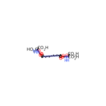 CC1=C(/C=C/C(C)=C/C=C/C(C)=C/C=C/C=C(C)/C=C/C=C(C)/C=C/C2=C(C)C(=O)C(OC(=O)CCNC(=O)NC(CCC(=O)O)C(=O)O)CC2(C)C)C(C)(C)CC(OC(=O)CCNC(=O)NC(CCC(=O)O)C(=O)O)C1=O